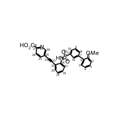 COc1ccccc1-c1cccc(S(=O)(=O)Nc2ccccc2C#Cc2ccc(C(=O)O)nc2)c1